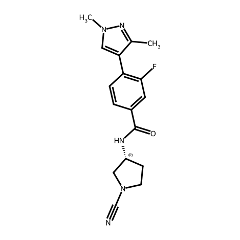 Cc1nn(C)cc1-c1ccc(C(=O)N[C@@H]2CCN(C#N)C2)cc1F